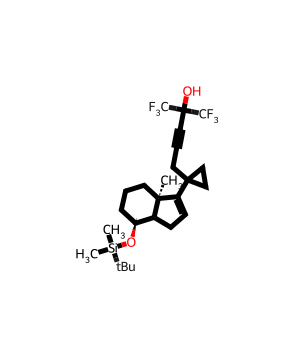 CC(C)(C)[Si](C)(C)O[C@H]1CCC[C@@]2(C)C(C3(CC#CC(O)(C(F)(F)F)C(F)(F)F)CC3)=CCC12